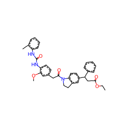 CCOC(=O)CC(c1ccccc1)c1ccc2c(c1)CCN2C(=O)Cc1ccc(NC(=O)Nc2ccccc2C)c(OC)c1